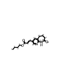 CCCCOC(=O)/C=C/c1cnc2c(c1)CCCC(=O)N2